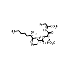 CC(C)C[C@H](NC(=O)[C@H](CC(=O)O)NC(=O)[C@H](CC(C)C)NC(=O)[C@@H](N)CCCCN)C(=O)O